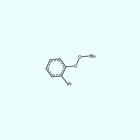 CC(C)c1c[c]ccc1OOC(C)(C)C